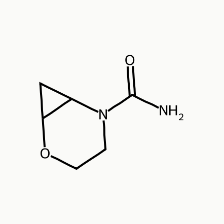 NC(=O)N1CCOC2CC21